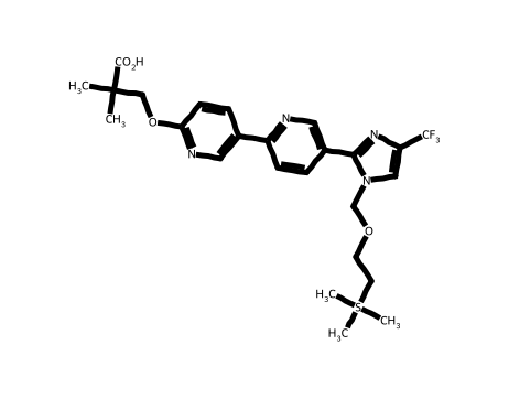 CC(C)(COc1ccc(-c2ccc(-c3nc(C(F)(F)F)cn3COCCS(C)(C)C)cn2)cn1)C(=O)O